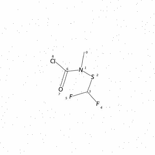 CN(SC(F)F)C(=O)Cl